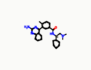 Cc1ccc(C(=O)N[C@@H](CN(C)C)c2ccccc2)cc1-c1nc(N)nc2ccccc12